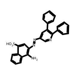 Nc1c(N=Nc2cnc(-c3ccccc3)c(-c3ccccc3)c2)cc(S(=O)(=O)O)c2ccccc12